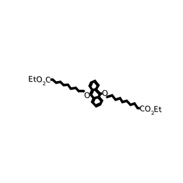 CCOC(=O)CCCCCCCCCOc1c2ccccc2c(OCCCCCCCCCC(=O)OCC)c2ccccc12